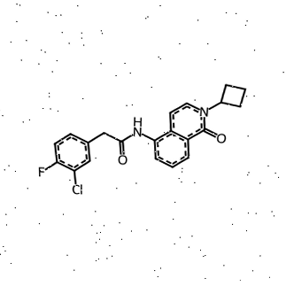 O=C(Cc1ccc(F)c(Cl)c1)Nc1cccc2c(=O)n(C3CCC3)ccc12